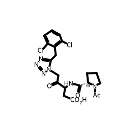 CC(=O)N1CCC[C@H]1C(=O)NC(CC(=O)O)C(=O)Cn1nnnc1Cc1c(Cl)cccc1Cl